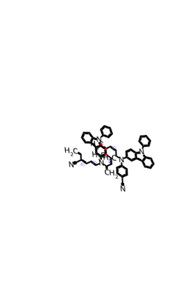 C=C/C(C#N)=C\C=C\N(C(=C)/C=C\C(=C)C(=C)/C=C\C(=C)N(c1ccc(C#N)cc1)c1ccc2c(c1)c1ccccc1n2-c1ccccc1)c1ccc2c(c1)c1ccccc1n2-c1ccccc1